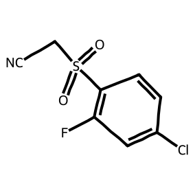 N#CCS(=O)(=O)c1ccc(Cl)cc1F